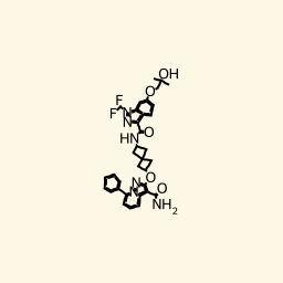 CC(C)(O)COc1ccc2c(C(=O)N[C@H]3CC4(C3)C[C@H](Oc3nn5c(-c6ccccc6)cccc5c3C(N)=O)C4)nn(C(F)F)c2c1